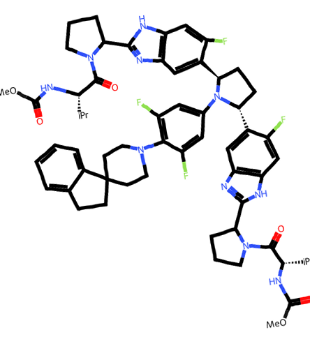 COC(=O)N[C@H](C(=O)N1CCCC1c1nc2cc([C@H]3CC[C@H](c4cc5nc(C6CCCN6C(=O)[C@@H](NC(=O)OC)C(C)C)[nH]c5cc4F)N3c3cc(F)c(N4CCC5(CCc6ccccc65)CC4)c(F)c3)c(F)cc2[nH]1)C(C)C